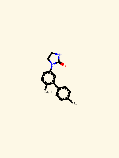 CCC(C)c1ccc(-c2cc(N3CCNC3=O)ccc2S(=O)(=O)O)cc1